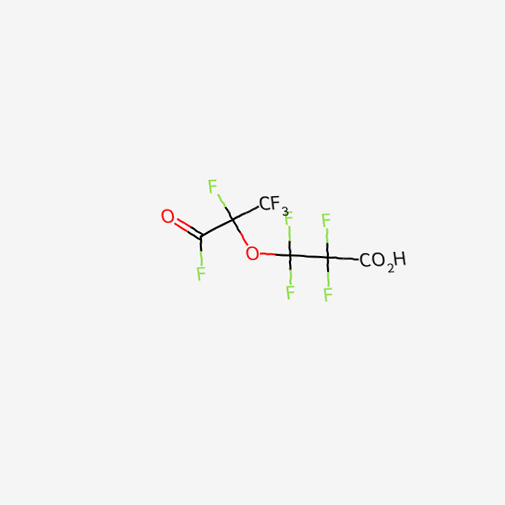 O=C(O)C(F)(F)C(F)(F)OC(F)(C(=O)F)C(F)(F)F